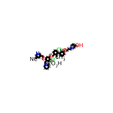 Cc1c(COc2cc(OCc3cncc(C#N)c3)c(CN3CCCCC3C(=O)O)cc2Cl)cccc1-c1cccc(OCCCN2CC[C@@H](O)C2)c1Cl